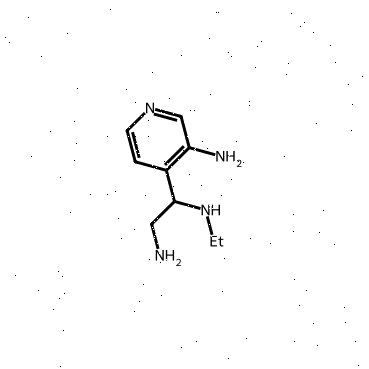 CCNC(CN)c1ccncc1N